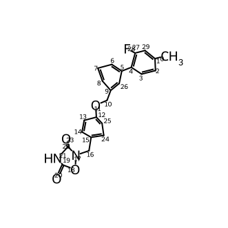 Cc1ccc(-c2cccc(COc3ccc(Cn4oc(=O)[nH]c4=O)cc3)c2)c(F)c1